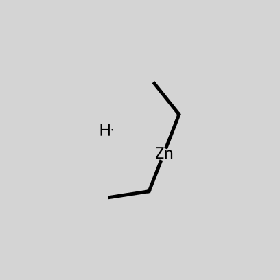 C[CH2][Zn][CH2]C.[H]